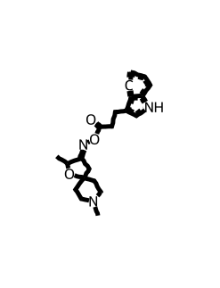 CC1OC2(CCN(C)CC2)CC1=NOC(=O)CCc1c[nH]c2ccccc12